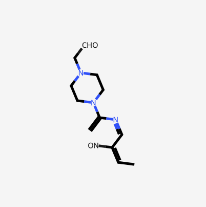 C=C(/N=C\C(=C/C)N=O)N1CCN(CC=O)CC1